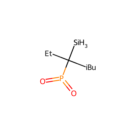 CCC(C)C([SiH3])(CC)P(=O)=O